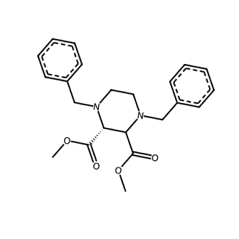 COC(=O)C1[C@H](C(=O)OC)N(Cc2ccccc2)CCN1Cc1ccccc1